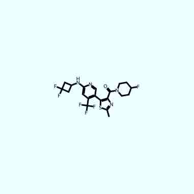 Cc1nc(C(=O)N2CCC(F)CC2)c(-c2cnc(NC3CC(F)(F)C3)cc2C(F)(F)F)s1